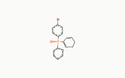 O=P(C1=CCCC=C1)(c1ccccc1)c1ccc(Br)cc1